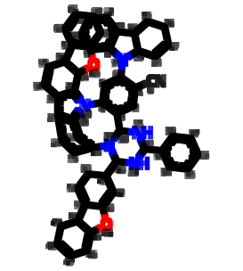 N#Cc1cc2c(cc1N1c3ccccc3C3CCC=CC31)-n1c3c(c4ccc(cc41)N1C2NC(c2ccccc2)NC1C1C=C2OC4=CC=CCC4C2=CC1)C=CC1C2=C(CCC=C2)OC31